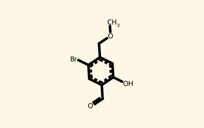 COCc1cc(O)c(C=O)cc1Br